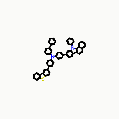 c1ccc(-c2cccc(N(c3ccc(-c4ccc5sc6ccccc6c5c4)cc3)c3ccc(-c4ccc5c6ccc7ccccc7c6n(-c6ccccc6)c5c4)cc3)c2)cc1